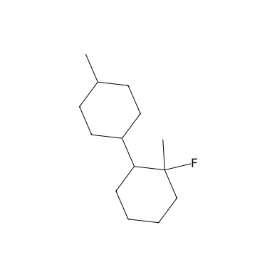 CC1CCC(C2CCCCC2(C)F)CC1